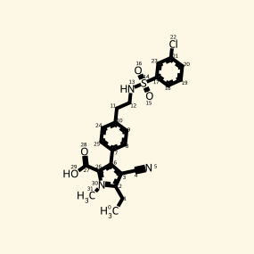 CCc1c(C#N)c(-c2ccc(CCNS(=O)(=O)c3cccc(Cl)c3)cc2)c(C(=O)O)n1C